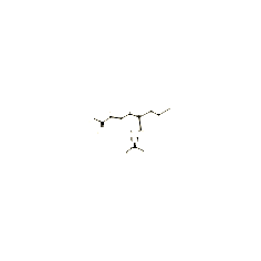 CCCC(CCCC(C)=O)CNC(C)C